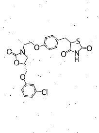 C[C@H](COc1ccc(CC2SC(=O)NC2=O)cc1)N1C[C@H](COc2cccc(Cl)c2)OC1=O